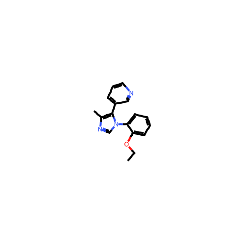 CCOc1ccccc1-n1cnc(C)c1-c1cccnc1